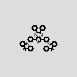 CC1(C)c2ccccc2N(c2cccc(-c3cnc(-c4cccc(N5c6ccccc6C(C)(C)c6ccccc65)c4)c4nc(-c5ccccc5)c(-c5ccccc5)nc34)c2)c2ccccc21